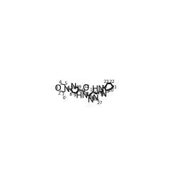 C[C@@H]1COCCN1c1ccc(C(=O)Nc2cc(-c3nc4ccccc4[nH]3)n(C)n2)cn1